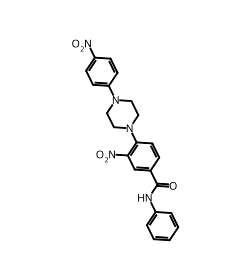 O=C(Nc1ccccc1)c1ccc(N2CCN(c3ccc([N+](=O)[O-])cc3)CC2)c([N+](=O)[O-])c1